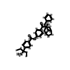 CCC(N)(CC)c1ccc(C(=O)Oc2ccc(C(=O)C(C)N3C4CCC3CC(Sc3ccccc3)C4)cc2)cc1